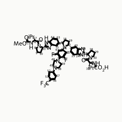 COC(=O)N[C@H](C(=O)N1CCC[C@H]1c1nc2cc([C@H]3CC[C@H](c4ccc5[nH]c([C@@H]6CCCN6C(=O)[C@@H](NC(=O)O)C(C)C)nc5c4)N3c3cc(F)c(N4CCN(c5ccc(C(F)(F)F)cc5)CC4)c(F)c3)ccc2[nH]1)C(C)C